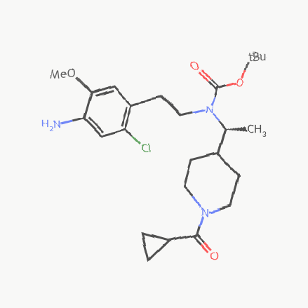 COc1cc(CCN(C(=O)OC(C)(C)C)[C@@H](C)C2CCN(C(=O)C3CC3)CC2)c(Cl)cc1N